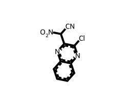 N#CC(c1nc2ccccc2nc1Cl)[N+](=O)[O-]